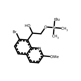 COc1ccc2ccc(Br)c(C(O)CO[Si](C)(C)C(C)(C)C)c2n1